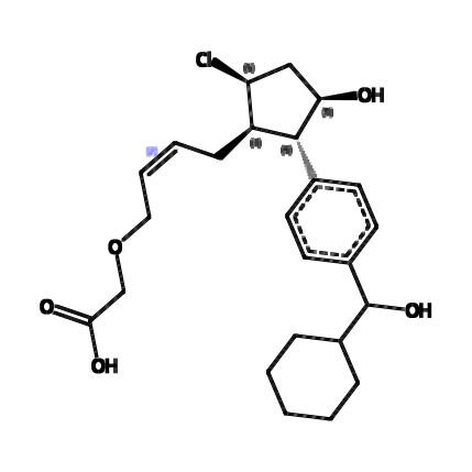 O=C(O)COC/C=C\C[C@@H]1[C@@H](c2ccc(C(O)C3CCCCC3)cc2)[C@H](O)C[C@@H]1Cl